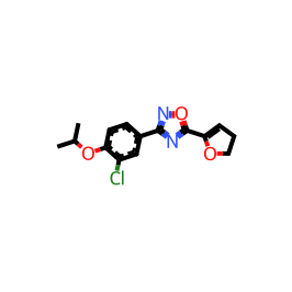 CC(C)Oc1ccc(-c2noc(C3=CCCO3)n2)cc1Cl